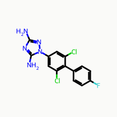 Nc1nc(N)n(-c2cc(Cl)c(-c3ccc(F)cc3)c(Cl)c2)n1